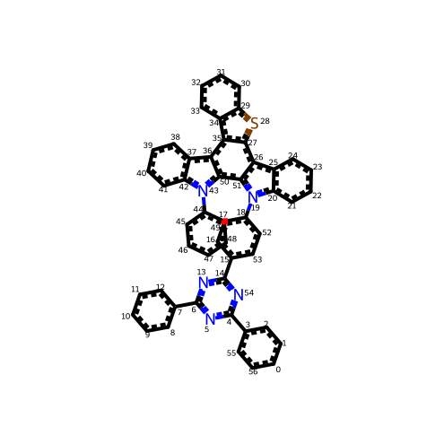 c1ccc(-c2nc(-c3ccccc3)nc(-c3ccc(-n4c5ccccc5c5c6sc7ccccc7c6c6c7ccccc7n(-c7ccccc7)c6c54)cc3)n2)cc1